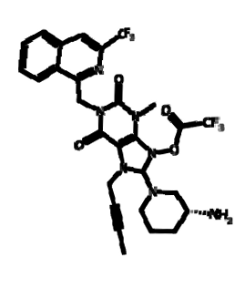 CC#CCN1c2c(n(C)c(=O)n(Cc3nc(C(F)(F)F)cc4ccccc34)c2=O)N(OC(=O)C(F)(F)F)C1N1CCC[C@@H](N)C1